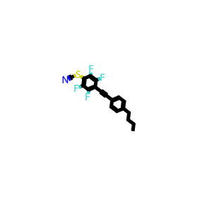 CCCCc1ccc(C#Cc2c(F)c(F)c(SC#N)c(F)c2F)cc1